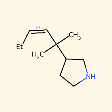 CC/C=C\C(C)(C)C1CCNC1